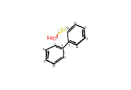 OS.[c]1ccc(-c2ccccc2)cc1